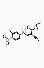 CCOC(=O)C(C#N)=CNc1ccc([N+](=O)[O-])c(C)c1